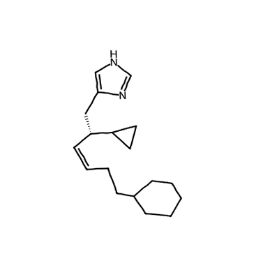 C(=C/[C@H](Cc1c[nH]cn1)C1CC1)/CCC1CCCCC1